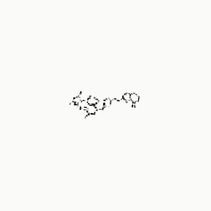 C=C(O)C[C@H](CN1CC[C@@H](CCc2ccc3c(n2)NCCC3)C1)c1cccc(-n2nc(C)cc2C)c1